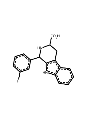 O=C(O)C1Cc2c([nH]c3ccccc23)C(c2cccc(F)c2)N1